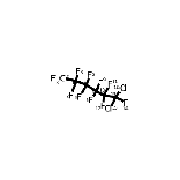 FC(F)(F)C(F)(F)C(F)(F)C(F)(F)C(F)(F)C(F)(Cl)Cl